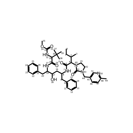 CCC(C)C(C(=O)NC(Cc1ccccc1)CC(O)C(Cc1ccccc1)NC(=O)C(NC(=O)OC)C(C)(C)C)N1CCN(Cc2ccc(C)nc2)C1=O